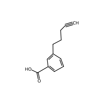 C#CCCCc1cccc(C(=O)O)c1